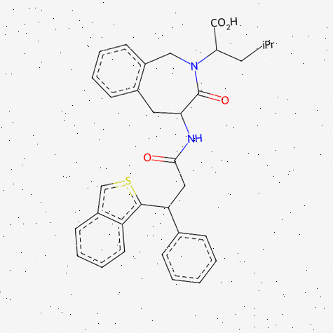 CC(C)CC(C(=O)O)N1Cc2ccccc2CC(NC(=O)CC(c2ccccc2)c2scc3ccccc23)C1=O